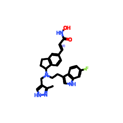 Cc1n[nH]cc1CN(CCc1c[nH]c2cc(F)ccc12)C1CCc2cc(/C=C/C(=O)NO)ccc21